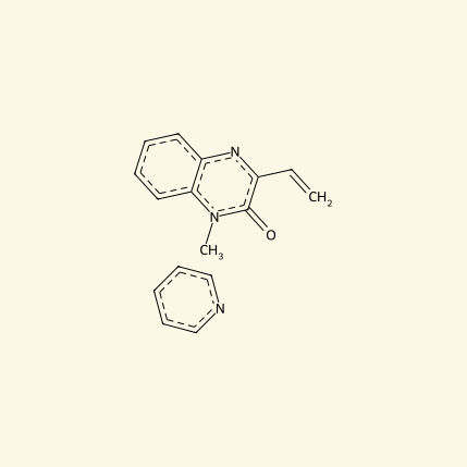 C=Cc1nc2ccccc2n(C)c1=O.c1ccncc1